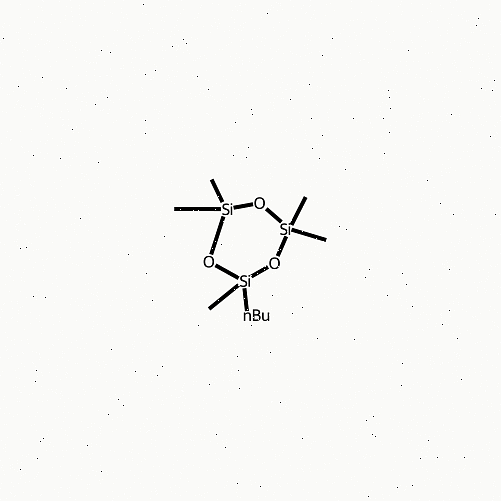 CCCC[Si]1(C)O[Si](C)(C)O[Si](C)(C)O1